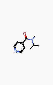 CC(C)N(C)C(=O)c1ccncc1